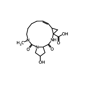 CN1CCCCC=CC2CC2(C(=O)O)NC(=O)C2CC(O)CN2C1=O